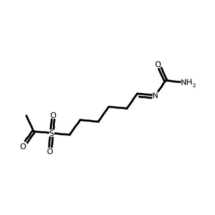 CC(=O)S(=O)(=O)CCCCCC=NC(N)=O